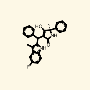 Cc1c(C(C2=C(O)[C@@](C)(c3ccccc3)NC2=O)c2ccccc2)[nH]c2ccc(F)cc12